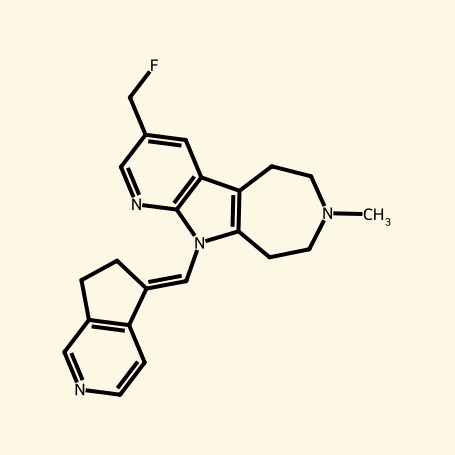 CN1CCc2c(n(/C=C3\CCc4cnccc43)c3ncc(CF)cc23)CC1